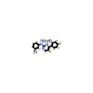 CCc1cccc(Nc2ncc(F)c(-c3ccc(F)cc3OC)n2)c1